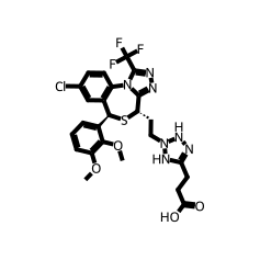 COc1cccc([C@@H]2S[C@@H](CCN3NN=C(CCC(=O)O)N3)c3nnc(C(F)(F)F)n3-c3ccc(Cl)cc32)c1OC